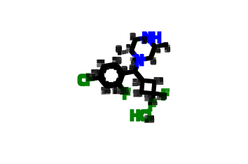 C[C@@H]1CN[C@@H](C)CN1C(c1ccc(Cl)cc1F)C1CC(F)(F)C1.Cl